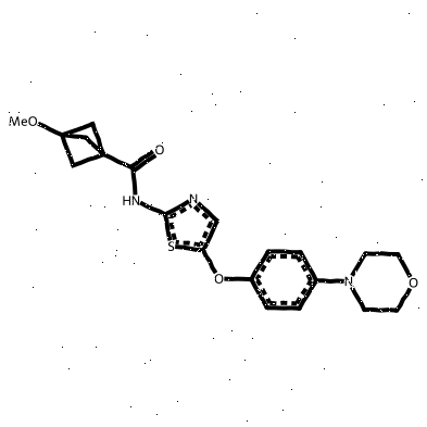 COC12CC(C(=O)Nc3ncc(Oc4ccc(N5CCOCC5)cc4)s3)(C1)C2